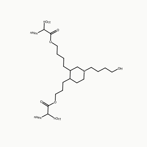 CCCCCCCCC(CCCCCC)C(=O)OCCCCC1CN(CCCCO)CCC1CCCOC(=O)C(CCCCCC)CCCCCCCC